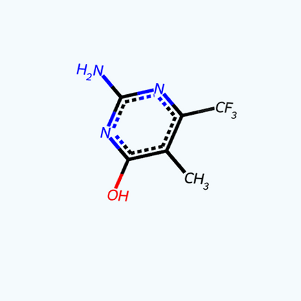 Cc1c(O)nc(N)nc1C(F)(F)F